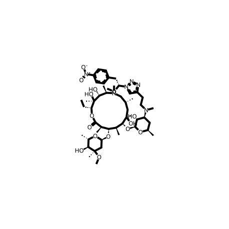 CC[C@H]1OC(=O)[C@H](C)[C@@H](O[C@H]2C[C@@](C)(OC)[C@@H](O)[C@H](C)O2)[C@H](C)[C@@H](O[C@@H]2O[C@H](C)C[C@H](N(C)CCc3cn([C@@H](Cc4ccc([N+](=O)[O-])cc4)OC)nn3)[C@H]2O)[C@](C)(O)C[C@@H](C)CN(C)[C@H](C)[C@@H](O)[C@]1(C)O